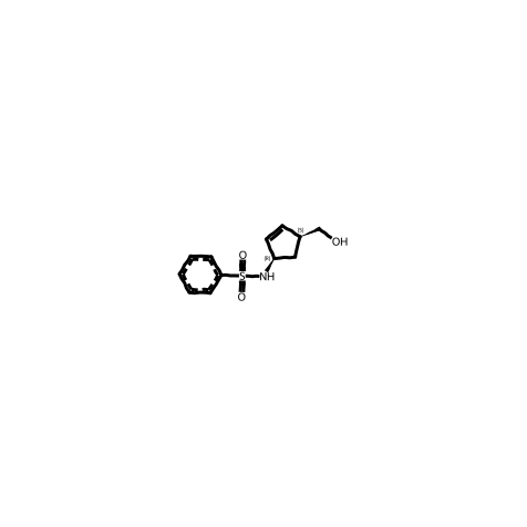 O=S(=O)(N[C@H]1C=C[C@@H](CO)C1)c1ccccc1